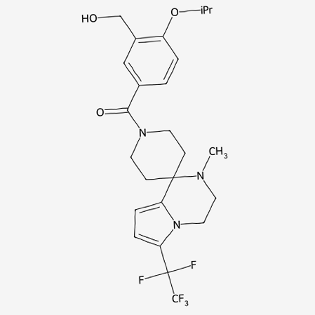 CC(C)Oc1ccc(C(=O)N2CCC3(CC2)c2ccc(C(F)(F)C(F)(F)F)n2CCN3C)cc1CO